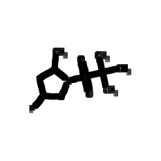 CC1CC(F)CN1S(=O)(=O)C(C)(C)C